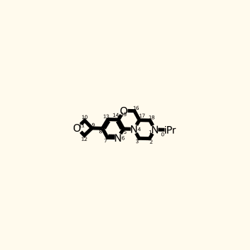 CC(C)N1CCN2c3ncc(C4COC4)cc3OCC2C1